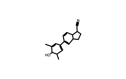 CC1=CC(C2=CC3CCC(C#N)C3C=C2)=CC(C)C1O